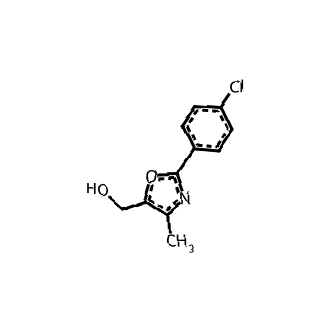 Cc1nc(-c2ccc(Cl)cc2)oc1CO